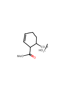 CC(=O)O.COC(=O)C1C=CCCC1C(=O)O